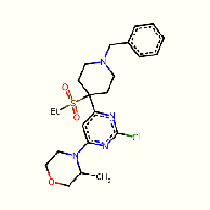 CCS(=O)(=O)C1(c2cc(N3CCOCC3C)nc(Cl)n2)CCN(Cc2ccccc2)CC1